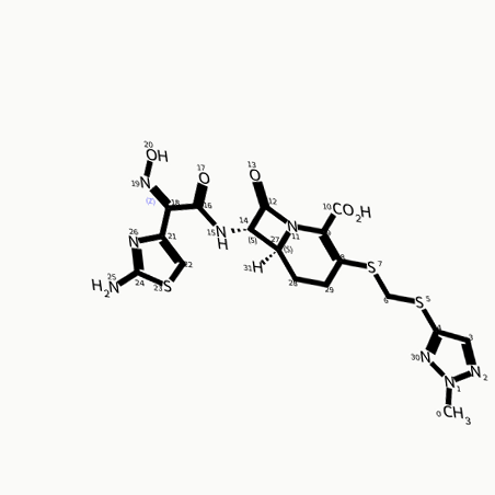 Cn1ncc(SCSC2=C(C(=O)O)N3C(=O)[C@@H](NC(=O)/C(=N\O)c4csc(N)n4)[C@@H]3CC2)n1